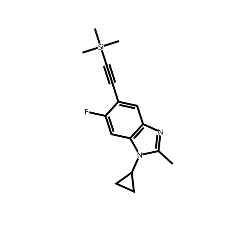 Cc1nc2cc(C#C[Si](C)(C)C)c(F)cc2n1C1CC1